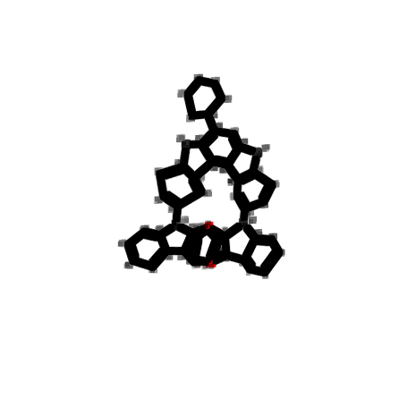 c1ccc2c(c1)c1ccccc1n2-c1ccc2oc3cc(C4CCCCC4)c4oc5ccc(-n6c7ccccc7c7ccccc76)cc5c4c3c2c1